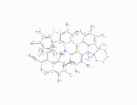 B/C(CN1c2c(B)c(C)c(B)c3c2B(c2c(B)c(B)c(B)c4c2N3C2(C)CCCCC42C)c2c(B)c(B)c3sc4c(B)c(C(C)(C)C)c(B)c(B)c4c3c21)=C(B)/C(=C(/B)C#C)c1c(B)c(B)c(B)c(B)c1B